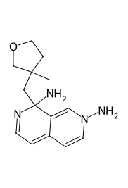 CC1(CC2(N)N=CC=C3C=CN(N)C=C32)CCOC1